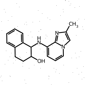 Cc1cn2cccc(NC3c4ccccc4CCC3O)c2n1